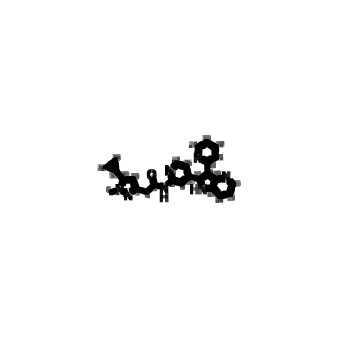 Cn1nc(CC(=O)Nc2cc(-c3[nH]c4cccnc4c3-c3ccccn3)ccn2)cc1C1CC1